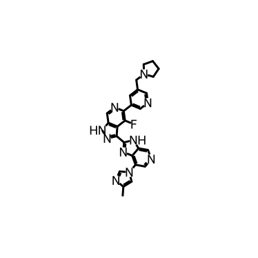 Cc1cn(-c2cncc3[nH]c(-c4n[nH]c5cnc(-c6cncc(CN7CCCC7)c6)c(F)c45)nc23)cn1